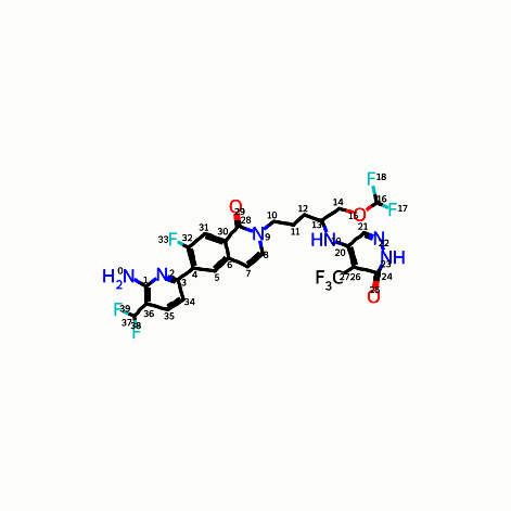 Nc1nc(-c2cc3ccn(CCCC(COC(F)F)Nc4cn[nH]c(=O)c4C(F)(F)F)c(=O)c3cc2F)ccc1C(F)F